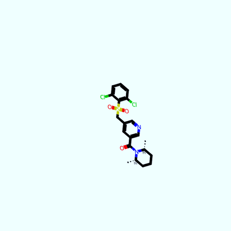 C[C@@H]1CCC[C@H](C)N1C(=O)c1cncc(CS(=O)(=O)c2c(Cl)cccc2Cl)c1